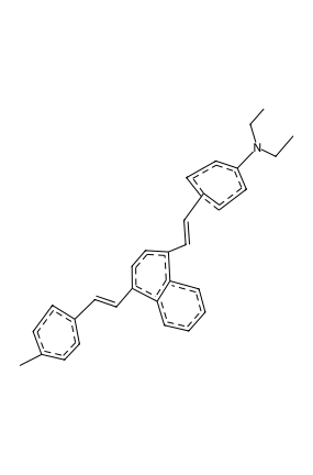 CCN(CC)c1ccc(C=Cc2ccc(C=Cc3ccc(C)cc3)c3ccccc23)cc1